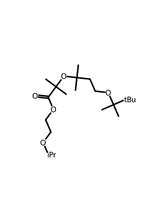 CC(C)OCCOC(=O)C(C)(C)OC(C)(C)CCOC(C)(C)C(C)(C)C